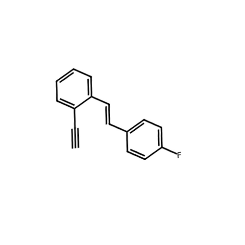 C#Cc1ccccc1C=Cc1ccc(F)cc1